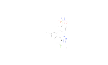 C=CCn1nc(-c2ccc(S(N)(=O)=O)cc2)c(-c2ccc(C)cc2)c1C(F)F